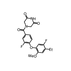 CCc1cc(OC)c(Oc2ccc(C(=O)N3CC(=O)NC(=O)C3)cc2F)cc1F